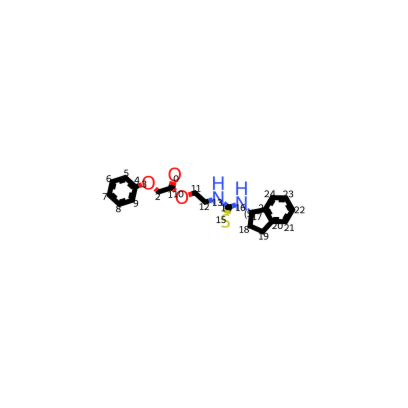 O=C(COc1ccccc1)OCCNC(=S)N[C@H]1CCc2ccccc21